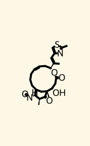 C/C(=C\c1csc(C)n1)[C@@H]1C/C=C\CCC[C@@H]2C[C@@](C)(C(=O)[C@@H](C)[C@@H]2N=O)[C@@H](O)CC(=O)O1